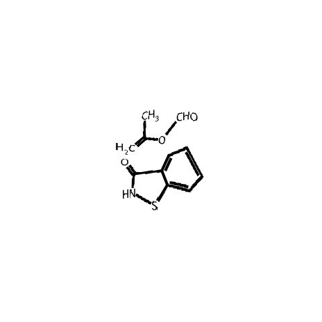 C=C(C)OC=O.O=c1[nH]sc2ccccc12